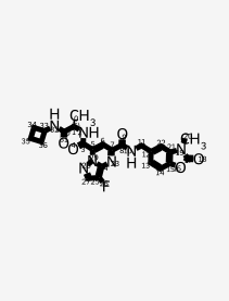 C[C@H](NC(=O)c1cc(C(=O)NCc2ccc3oc(=O)n(C)c3c2)nc2c(F)cnn12)C(=O)NC1CCC1